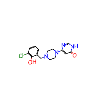 O=c1cc(N2CCN(Cc3cccc(Cl)c3O)CC2)nc[nH]1